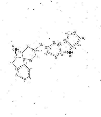 O[C@@H]1Cc2ccccc2C12CCN(Cc1ccc3[nH]c4ccccc4c3c1)CC2